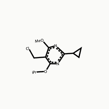 COc1nc(C2CC2)nc(OC(C)C)c1CCl